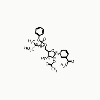 C[C@H](NP(=O)(OCC1O[C@@H](N2C=C(C(N)=O)C=CC2)[C@H](OC(=O)C(F)(F)F)[C@H]1O)Oc1ccccc1)C(=O)O